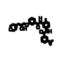 Cc1ccc(NC(=O)c2cccc(N(C)C)c2)cc1NC(=O)c1cccc(OCC(O)CN2CCOCC2)c1